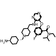 CCN(C(=O)c1cc(F)ccc1Oc1cncnc1NCC1CCN(C[C@H]2CC[C@H](N)CC2)CC1)C(C)C